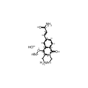 CCCCOc1c(CN)n(CC(C)C)c(=O)c2ccc(C=CC(N)=O)cc12.Cl